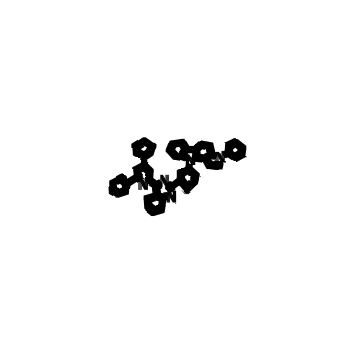 c1ccc(-c2cc(-c3ccccc3)nc(-c3nc(-c4cccc(-n5c6ccccc6c6ccc7c(ccn7-c7ccccc7)c65)c4)nc4ccccc34)c2)cc1